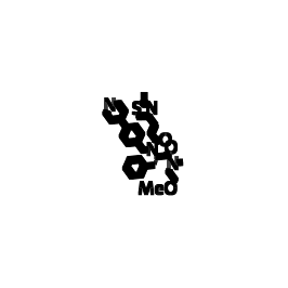 COCCN(C)C(=O)[C@H](Cc1ccccc1)N(Cc1ccc(-c2ccncc2)cc1)C(=O)/C=C/c1csc(C)n1